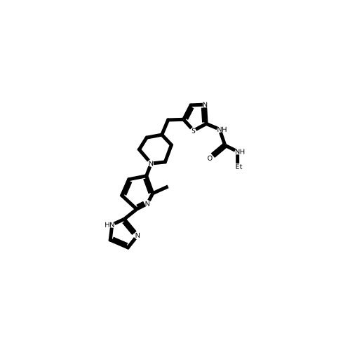 CCNC(=O)Nc1ncc(CC2CCN(c3ccc(-c4ncc[nH]4)nc3C)CC2)s1